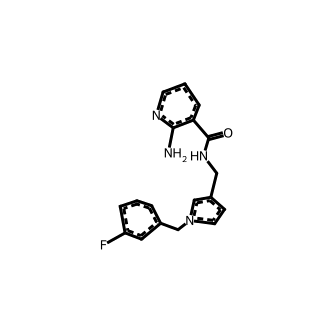 Nc1ncccc1C(=O)NCc1ccn(Cc2cccc(F)c2)c1